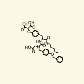 CCCCCNC(=O)C(Cc1ccc(OC(C(=O)O)C(=O)O)cc1)NC(=O)N(CC(=O)O)Cc1ccc(OCc2ccccc2)cc1